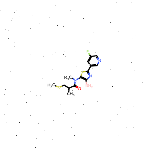 Bc1nc(-c2cncc(F)c2)sc1N(C)C(=O)C(C)CSC